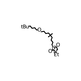 CCN1CC(=O)N(CCCCC(C)(C)CCCCOCCCCC(C)(C)C)C1=O